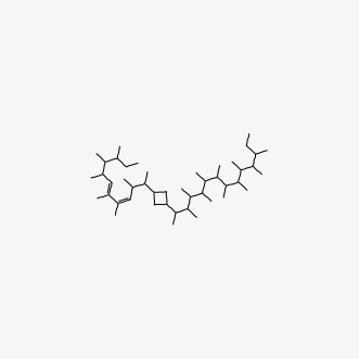 CCC(C)C(C)C(C)C=C(C)C(C)=CC(C)C(C)C1CC(C(C)C(C)C(C)C(C)C(C)C(C)C(C)C(C)C(C)C(C)C(C)CC)C1